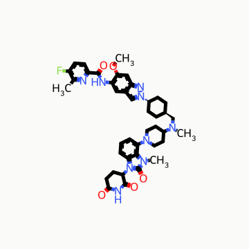 COc1cc2nn([C@H]3CC[C@H](CN(C)C4CCN(c5cccc6c5n(C)c(=O)n6C5CCC(=O)NC5=O)CC4)CC3)cc2cc1NC(=O)c1ccc(F)c(C)n1